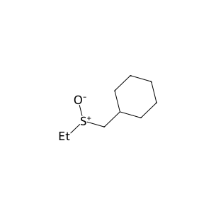 [CH2]C[S+]([O-])CC1CCCCC1